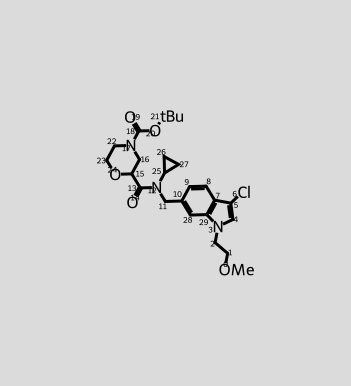 COCCn1cc(Cl)c2ccc(CN(C(=O)C3CN(C(=O)OC(C)(C)C)CCO3)C3CC3)cc21